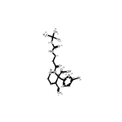 C=CC1CCNN(C(=O)CCNC(=O)OC(C)(C)C)C1(C(=O)O)c1nc(Br)cs1